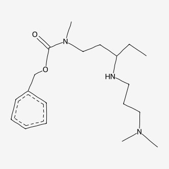 CCC(CCN(C)C(=O)OCc1ccccc1)NCCCN(C)C